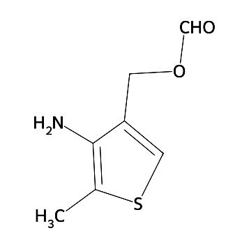 Cc1scc(COC=O)c1N